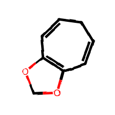 C1=CC2=C(C=CC1)OCO2